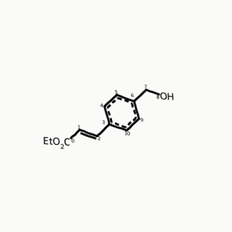 CCOC(=O)/C=C/c1ccc(CO)cc1